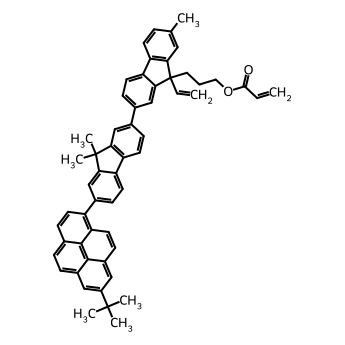 C=CC(=O)OCCCC1(C=C)c2cc(C)ccc2-c2ccc(-c3ccc4c(c3)C(C)(C)c3cc(-c5ccc6ccc7cc(C(C)(C)C)cc8ccc5c6c78)ccc3-4)cc21